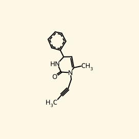 CC#CCN1C(=O)NC(c2ccccc2)C=C1C